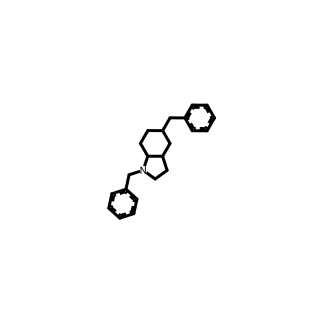 c1ccc(CC2CCC3C(CCN3Cc3ccccc3)C2)cc1